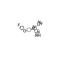 CNc1cc2c(cn1)c(-c1cnn(C)c1)nn2C1CCC(Oc2ccc(F)cc2)CC1